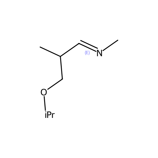 C/N=C/C(C)COC(C)C